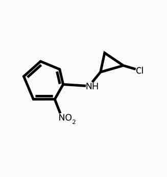 O=[N+]([O-])c1ccccc1NC1CC1Cl